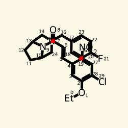 CCOc1cc(/C=C/C(=O)N2C3CCC2CN(Cc2ccc(F)cc2)C3)c([N+](=O)[O-])cc1Cl